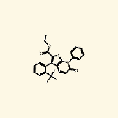 CCOC(=O)c1sc2c(ccc(=O)n2-c2ccccc2)c1-c1ccccc1C(F)(F)F